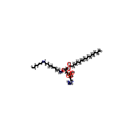 CCCCCC/C=C\CCCCCCCC/C=C\OC(COC(=O)CCCCCCCCCCCCCCCCC)COP(=O)([O-])OCC[N+](C)(C)C